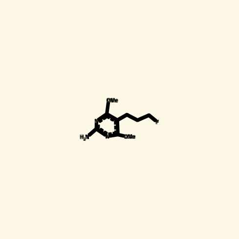 COc1nc(N)nc(OC)c1CCCF